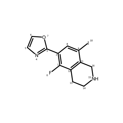 Fc1c(-c2ncco2)cc(I)c2c1CCNC2